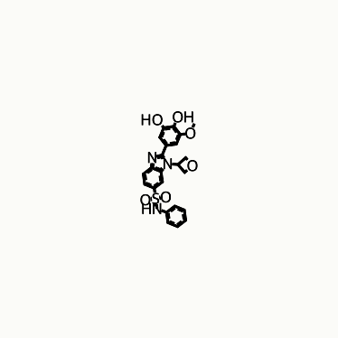 COc1cc(-c2nc3ccc(S(=O)(=O)Nc4ccccc4)cc3n2C2COC2)cc(O)c1O